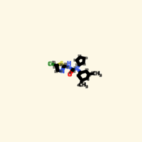 CC1CC(C)CC(N(C(=O)Nc2ncc(Cl)s2)C2CCCC2)C1